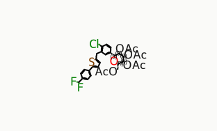 CC(=O)OC[C@H]1O[C@@H](c2ccc(Cl)c(Cc3ccc(-c4ccc(C(F)F)cc4)s3)c2)[C@H](OC(C)=O)[C@@H](OC(C)=O)[C@@H]1OC(C)=O